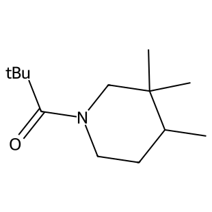 CC1CCN(C(=O)C(C)(C)C)CC1(C)C